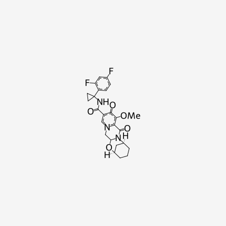 COc1c2n(cc(C(=O)NC3(c4ccc(F)cc4F)CC3)c1=O)CC1O[C@@H]3CCC[C@@H](C3)N1C2=O